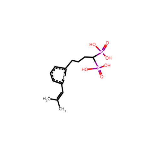 CC(C)=Cc1cccc(CCCC(P(=O)(O)O)P(=O)(O)O)c1